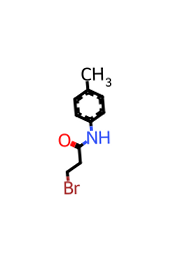 Cc1ccc(NC(=O)CCBr)cc1